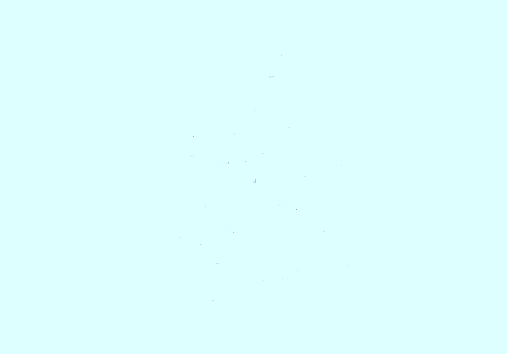 CC(C)(C)c1ccc(N2c3cc(N4c5ccc(-c6ccccc6)cc5C5(C)CCCCC45C)cc4c3B3c5c2cc(C(C)(C)C)cc5C(C)(C)c2cc(C(C)(C)C)cc(c23)N4c2ccc(C(C)(C)C)cc2)cc1